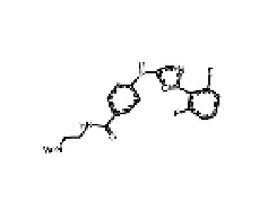 CNCCNC(=O)c1ccc(Nc2cnc(-c3c(F)cccc3F)o2)cc1